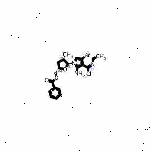 C=C/N=C(/Cl)c1c(Br)cn([C@H]2O[C@H](COC(=O)c3ccccc3)C[C@@H]2C)c1N